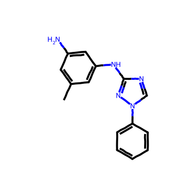 Cc1cc(N)cc(Nc2ncn(-c3ccccc3)n2)c1